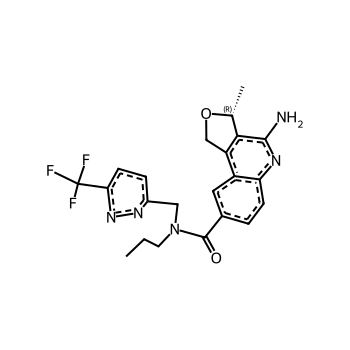 CCCN(Cc1ccc(C(F)(F)F)nn1)C(=O)c1ccc2nc(N)c3c(c2c1)CO[C@@H]3C